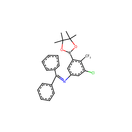 CC1(C)OB(c2cc(N=C(c3ccccc3)c3ccccc3)cc(Cl)c2C(F)(F)F)OC1(C)C